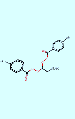 [CH2]CCCCCCCCCC[C](OOC(=O)c1ccc(CCC)cc1)OOC(=O)c1ccc(CCC)cc1